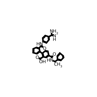 CC(NC(=O)c1ccc(-c2ccccc2C(=O)Nc2ccc(C(=N)N)cc2)c(C(=O)O)c1)c1ccccc1